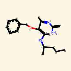 C=C(N)/N=C(C)\C(OCc1ccccc1)=C(/C)NC(C)CCC